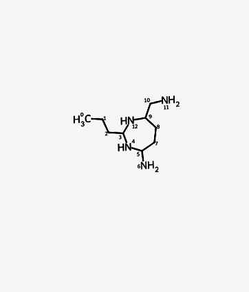 CCCC1NC(N)CCC(CN)N1